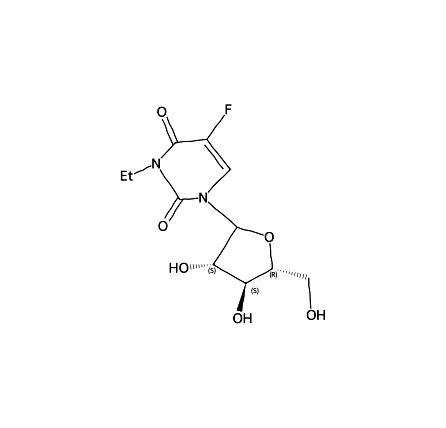 CCn1c(=O)c(F)cn(C2O[C@H](CO)[C@@H](O)[C@@H]2O)c1=O